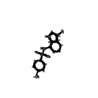 N#Cc1ccc(S(=O)(=O)Nc2cccc3c(Cl)c[nH]c23)cc1